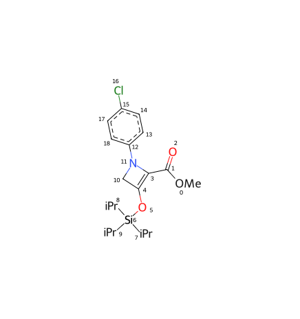 COC(=O)C1=C(O[Si](C(C)C)(C(C)C)C(C)C)CN1c1ccc(Cl)cc1